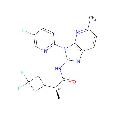 C[C@H](C(=O)Nc1nc2ccc(C(F)(F)F)nc2n1-c1ccc(F)cn1)C1CC(F)(F)C1